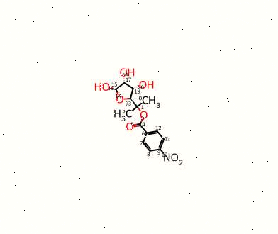 CC(C)(OC(=O)c1ccc([N+](=O)[O-])cc1)[C@H]1OC(O)[C@H](O)[C@@H]1O